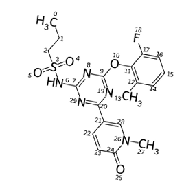 CCCS(=O)(=O)Nc1nc(Oc2c(C)cccc2F)nc(-c2ccc(=O)n(C)c2)n1